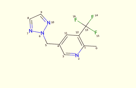 Cc1ncc(Cn2nccn2)cc1C(F)(F)F